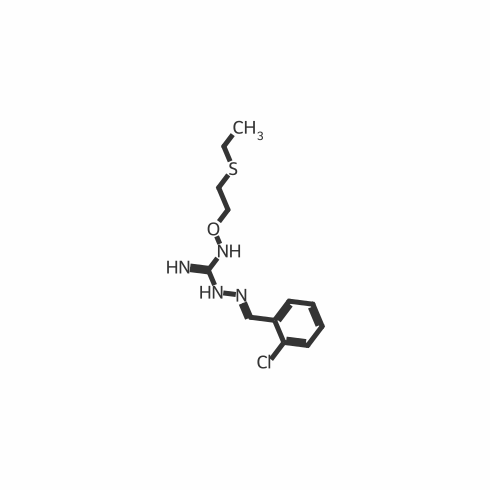 CCSCCONC(=N)N/N=C/c1ccccc1Cl